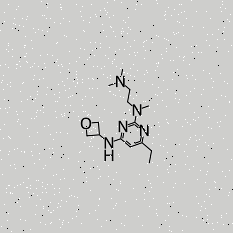 CCc1cc(NC2COC2)nc(N(C)CCN(C)C)n1